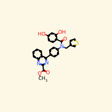 COC(=O)c1nc(-c2ccc(N(Cc3ccsc3)C(=O)c3ccc(O)cc3O)cc2)c2ccccc2n1